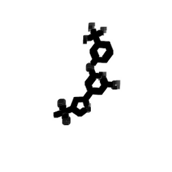 CS(=O)(=O)C1CSC(c2cc(Cl)nc(Oc3cccc(C(F)(F)F)c3)c2)C1